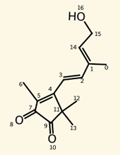 CC(C=CC1=C(C)C(=O)C(=O)C1(C)C)=CCO